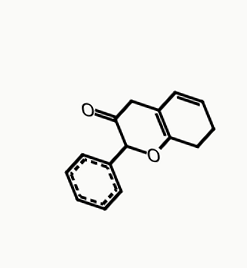 O=C1CC2=C(CCC=C2)OC1c1ccccc1